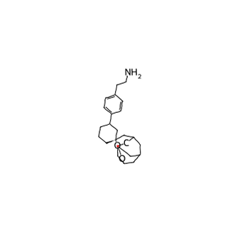 NCCc1ccc(C2CCC[C@]3(CC4CC5CC(C4)CC(C5)OO3)C2)cc1